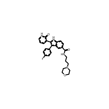 O=C(NCCCN1CCOCC1)c1ccc2[nH]c(-c3ccc[nH]c3=O)c(-c3ccc(F)cc3)c2c1